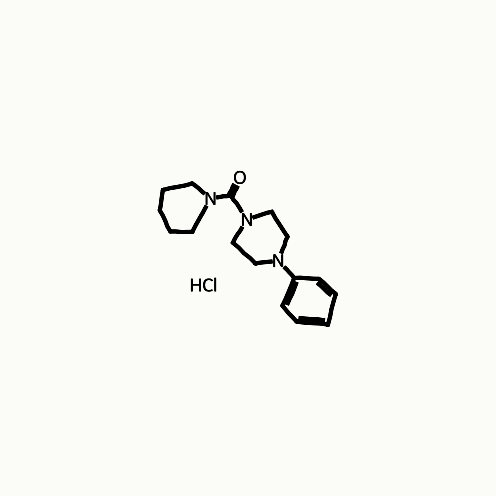 Cl.O=C(N1CCCCC1)N1CCN(c2ccccc2)CC1